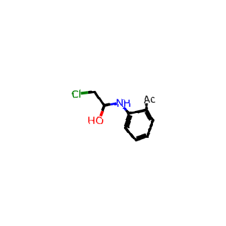 CC(=O)c1ccccc1NC(O)CCl